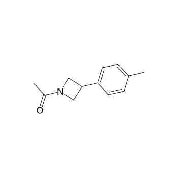 CC(=O)N1CC(c2ccc(C)cc2)C1